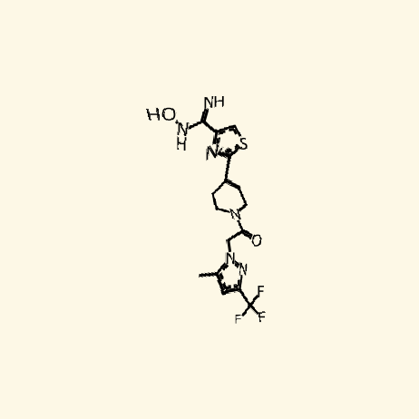 Cc1cc(C(F)(F)F)nn1CC(=O)N1CCC(c2nc(C(=N)NO)cs2)CC1